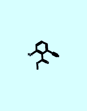 COC(=O)c1c(N)cccc1C#N